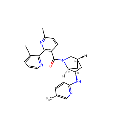 Cc1ccc(C(=O)N2C[C@@H]3C[C@@H](Nc4ccc(C(F)(F)F)cn4)[C@@H]2C3)c(-c2ncccc2C)n1